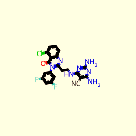 N#Cc1c(N)nc(N)nc1NCCc1nc2cccc(Cl)c2c(=O)n1-c1cc(F)cc(F)c1